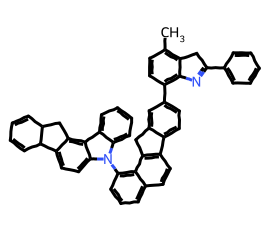 Cc1ccc(-c2ccc3c(c2)Cc2c-3ccc3cccc(-n4c5ccccc5c5c6c(ccc54)C4C=CC=CC4C6)c23)c2c1CC(c1ccccc1)=N2